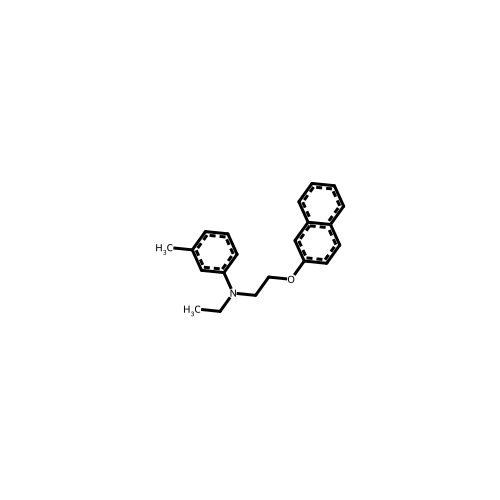 CCN(CCOc1ccc2ccccc2c1)c1cccc(C)c1